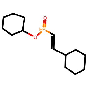 O=[PH](C=CC1CCCCC1)OC1CCCCC1